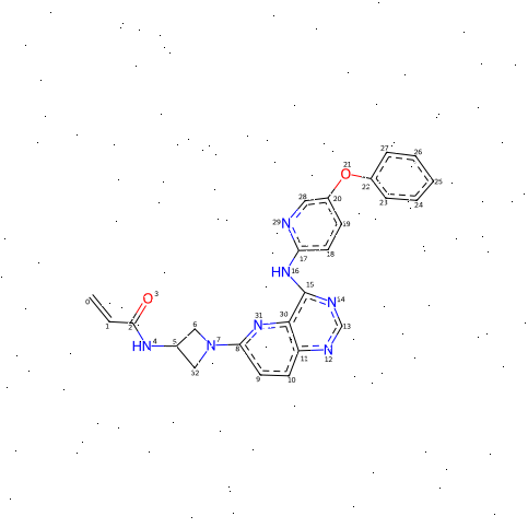 C=CC(=O)NC1CN(c2ccc3ncnc(Nc4ccc(Oc5ccccc5)cn4)c3n2)C1